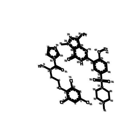 CCCN(CCOc1c(Cl)cc(Cl)cc1Cl)C(=O)n1ccnc1.CCCc1nn(C)c2c(=O)[nH]c(-c3cc(S(=O)(=O)N4CCN(C)CC4)ccc3OCC)nc12